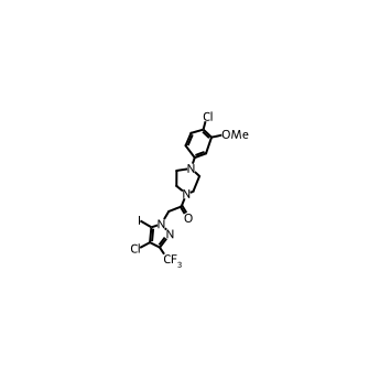 COc1cc(N2CCN(C(=O)Cn3nc(C(F)(F)F)c(Cl)c3I)CC2)ccc1Cl